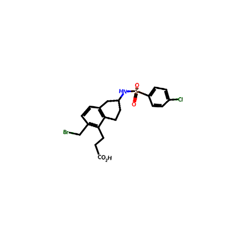 O=C(O)CCc1c(CBr)ccc2c1CCC(NS(=O)(=O)c1ccc(Cl)cc1)C2